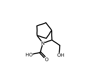 O=C(O)N1C2CCC(C2)C1CO